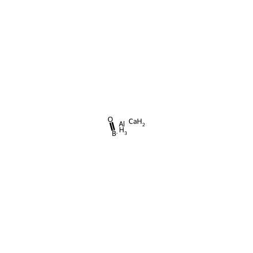 [AlH3].[B]=O.[CaH2]